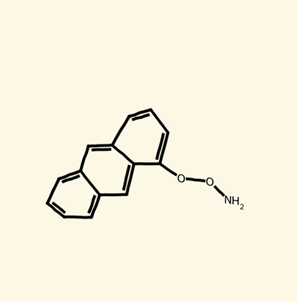 NOOc1cccc2cc3ccccc3cc12